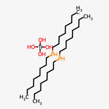 CCCCCCCCPCCCCCCCC.CCCCCCCCPCCCCCCCC.[OH][Ti]([OH])([OH])[OH]